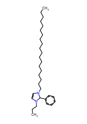 CCCCCCCCCCCCCCCCCCCN1C=CN(CCC)C1c1ccccc1